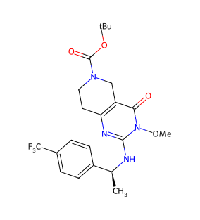 COn1c(N[C@@H](C)c2ccc(C(F)(F)F)cc2)nc2c(c1=O)CN(C(=O)OC(C)(C)C)CC2